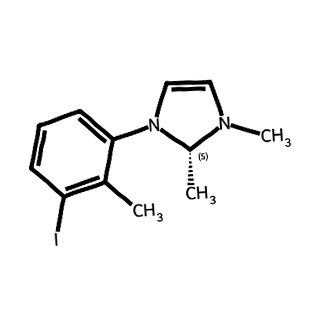 Cc1c(I)cccc1N1C=CN(C)[C@@H]1C